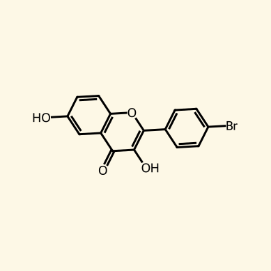 O=c1c(O)c(-c2ccc(Br)cc2)oc2ccc(O)cc12